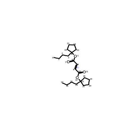 CCCCC1(OC(=O)/C=C/C(=O)OC2(CCCC)CCCC2)CCCC1